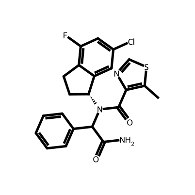 Cc1scnc1C(=O)N(C(C(N)=O)c1ccccc1)[C@@H]1CCc2c(F)cc(Cl)cc21